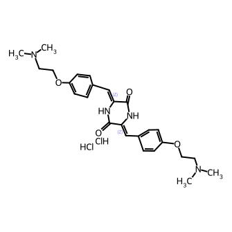 CN(C)CCOc1ccc(/C=c2\[nH]c(=O)/c(=C/c3ccc(OCCN(C)C)cc3)[nH]c2=O)cc1.Cl.Cl